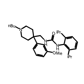 CCCCN1CCC(CNC(=O)Nc2c(C(C)C)cccc2C(C)C)(c2cccc(OC)c2)CC1